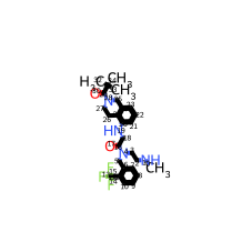 CNCCN(Cc1ccccc1C(F)(F)F)C(=O)CNc1cccc2c1CCN(C(=O)C(C)(C)C)C2